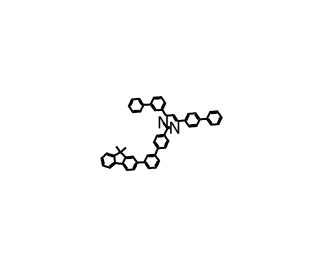 CC1(C)c2ccccc2-c2ccc(-c3cccc(-c4ccc(-c5nc(-c6ccc(-c7ccccc7)cc6)cc(-c6cccc(-c7ccccc7)c6)n5)cc4)c3)cc21